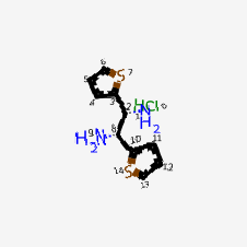 Cl.N[C@@H](c1cccs1)[C@@H](N)c1cccs1